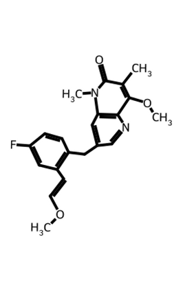 CO/C=C/c1cc(F)ccc1Cc1cnc2c(OC)c(C)c(=O)n(C)c2c1